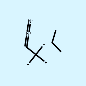 CCC.[N-]=[N+]=CC(F)(F)F